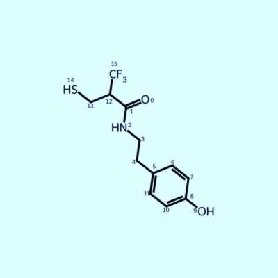 O=C(NCCc1ccc(O)cc1)C(CS)C(F)(F)F